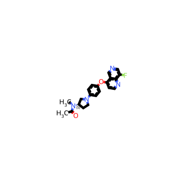 CC(=O)N(C)[C@H]1CCN(c2ccc(Oc3ccnc4c(F)cncc34)cc2)C1